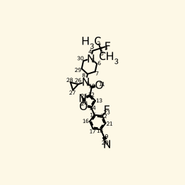 CC(C)(F)CN1CCC(N(C(=O)c2cc(-c3ccc(C#N)cc3F)on2)C2CC2)CC1